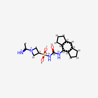 CC(=N)N1CC(S(=O)(=O)NC(=O)Nc2c3c(cc4c2CCC4)CCC3)C1